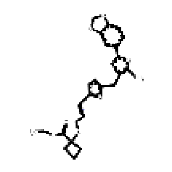 CCOC(=O)C1(SC/C=C/c2ccc(Cc3nc(-c4ccc5c(c4)OCO5)oc3C)o2)CCC1